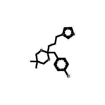 CC1(C)COC(CCCn2ccnc2)(Cc2ccc(Cl)cc2)OC1